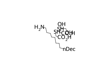 CCCCCCCCCCCCCCCCCCN.O=C(O)CS.O=C(O)CS.OCCO